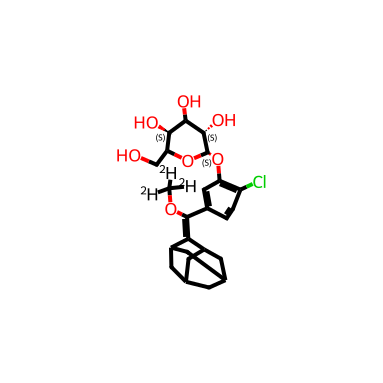 [2H]C([2H])([2H])OC(=C1C2CC3CC(C2)CC1C3)c1ccc(Cl)c(O[C@@H]2OC(CO)[C@@H](O)C(O)[C@@H]2O)c1